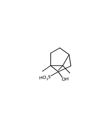 CC1(C)C2CCC1(C)C(O)(S(=O)(=O)O)C2